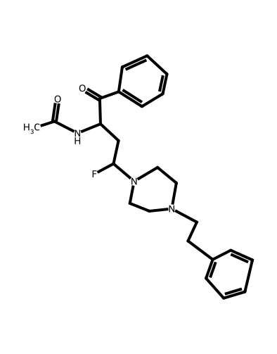 CC(=O)NC(CC(F)N1CCN(CCc2ccccc2)CC1)C(=O)c1ccccc1